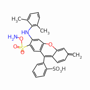 C=c1ccc2c(c1)Oc1cc(Nc3c(C)cccc3C)c(S(=O)(=O)ON)cc1C=2c1ccccc1S(=O)(=O)O